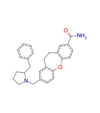 NC(=O)c1ccc2c(c1)CCc1cc(CN3CCCC3Cc3ccccc3)ccc1O2